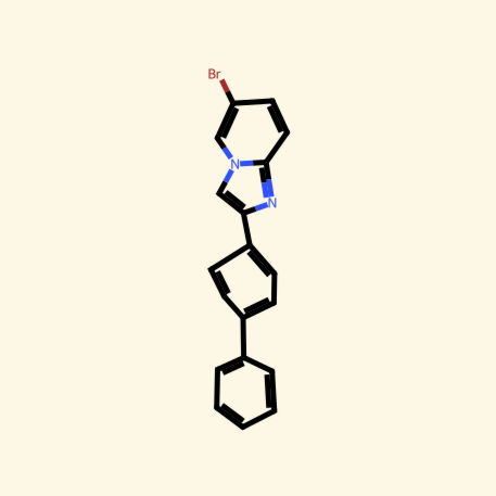 Brc1ccc2nc(-c3ccc(-c4ccccc4)cc3)cn2c1